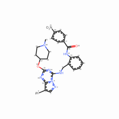 CC(C)c1cnn2c(NCc3ccccc3NC(=O)c3ccc([N+](=O)[O-])cc3)nc(OC3CCN(C)CC3)nc12